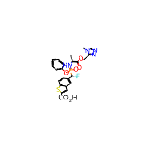 C[C@H](NP(=O)(Oc1ccccc1)[C@@H](F)c1ccc2sc(C(=O)O)cc2c1)C(=O)OCc1nncn1C